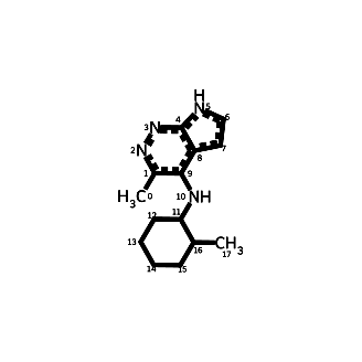 Cc1nnc2[nH]ccc2c1NC1CCCCC1C